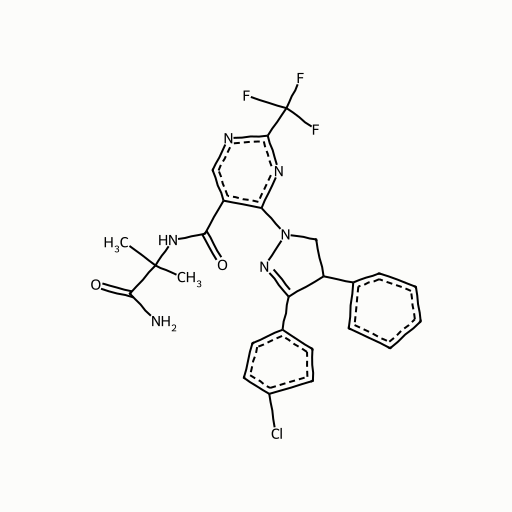 CC(C)(NC(=O)c1cnc(C(F)(F)F)nc1N1CC(c2ccccc2)C(c2ccc(Cl)cc2)=N1)C(N)=O